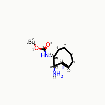 CC(C)(C)OC(=O)N[C@@H]1CCCC/C=C/[C@H]1N